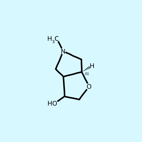 CN1CC2C(O)CO[C@@H]2C1